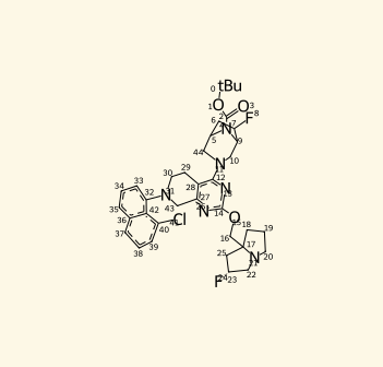 CC(C)(C)OC(=O)N1C2CC(F)C1CN(c1nc(OCC34CCCN3C[C@H](F)C4)nc3c1CCN(c1cccc4cccc(Cl)c14)C3)C2